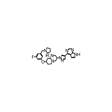 C[C@H]1CCCN1Cc1cc(F)cc(OC2CCN(CC(CN)n3cc(-c4ncnc5[nH]ccc45)cn3)CC2)c1